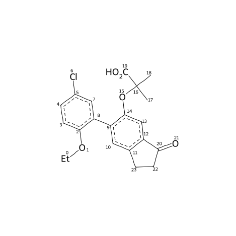 CCOc1ccc(Cl)cc1-c1cc2c(cc1OC(C)(C)C(=O)O)C(=O)CC2